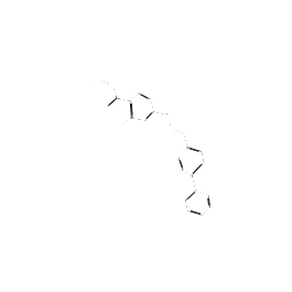 COC(=O)c1ccc(NSCc2ccc(-c3ccccc3)cc2)cc1O